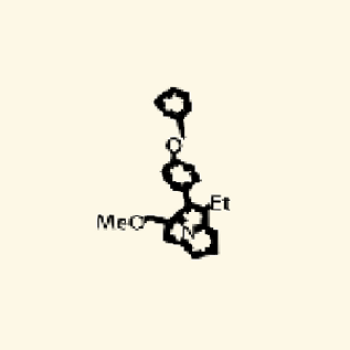 CCc1c(-c2ccc(OCc3ccccc3)cc2)c2c(COC)cc3cccc1n32